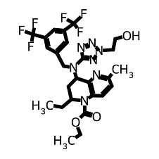 CCOC(=O)N1c2ccc(C)nc2C(N(Cc2cc(C(F)(F)F)cc(C(F)(F)F)c2)c2nnn(CCO)n2)CC1CC